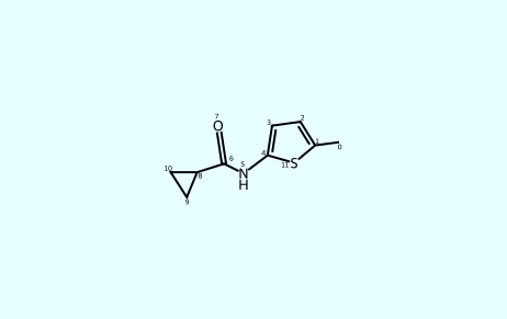 Cc1ccc(NC(=O)C2CC2)s1